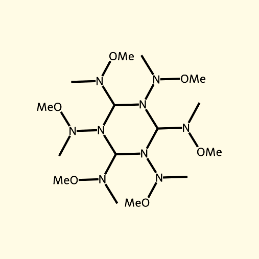 CON(C)C1N(N(C)OC)C(N(C)OC)N(N(C)OC)C(N(C)OC)N1N(C)OC